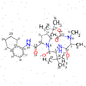 CC(C(=O)NC(C(=O)N1CCCC1C(=O)Nc1cccc2c1CCCC2)C(C)(C)C)N(C)C(=O)OC(C)(C)C